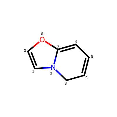 [C]1=CN2CC=CC=C2O1